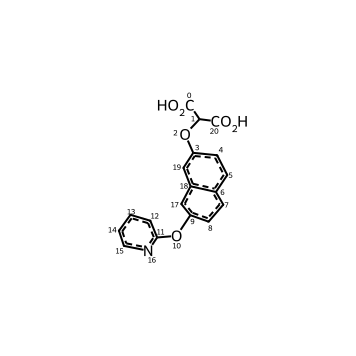 O=C(O)C(Oc1ccc2ccc(Oc3ccccn3)cc2c1)C(=O)O